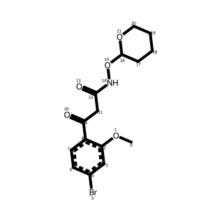 COc1cc(Br)ccc1C(=O)CC(=O)NOC1CCCCO1